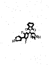 O=C1c2ccccc2C(=O)N1C(c1cc(F)c(C2=CCNCC2)c(F)c1)c1c[nH]nn1